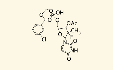 CC(=O)OC1C(CO[P]2(O)OCOC(c3cccc(Cl)c3)O2)OC(n2ccc(=O)[nH]c2=O)C1(C)F